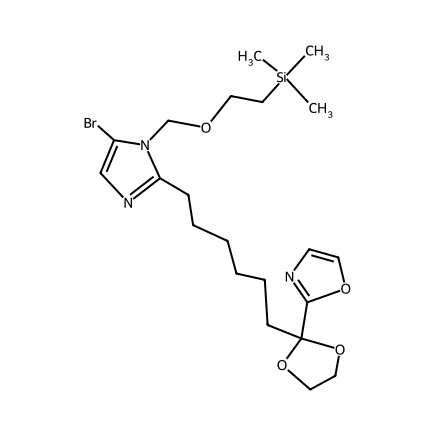 C[Si](C)(C)CCOCn1c(Br)cnc1CCCCCCC1(c2ncco2)OCCO1